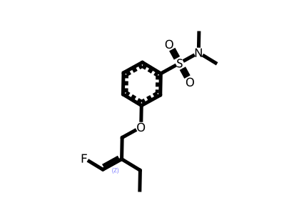 CC/C(=C/F)COc1cccc(S(=O)(=O)N(C)C)c1